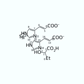 CCC(O)C(=O)O.O=C([O-])C=Cc1c[nH]cn1.O=C([O-])C=Cc1c[nH]cn1.[Se+2]